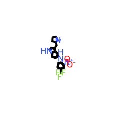 CN1CCCC1Cc1c[nH]c2ccc(Nc3ccc(C(F)(F)F)cc3[N+](=O)[O-])cc12